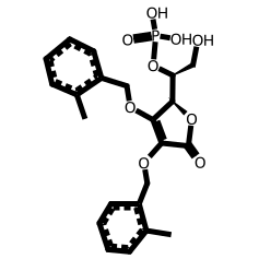 Cc1ccccc1COC1=C(OCc2ccccc2C)[C@@H]([C@H](CO)OP(=O)(O)O)OC1=O